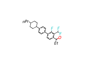 CCCC1CCC(c2ccc(-c3ccc(C(=O)CC)c(C(F)F)c3F)cc2)CC1